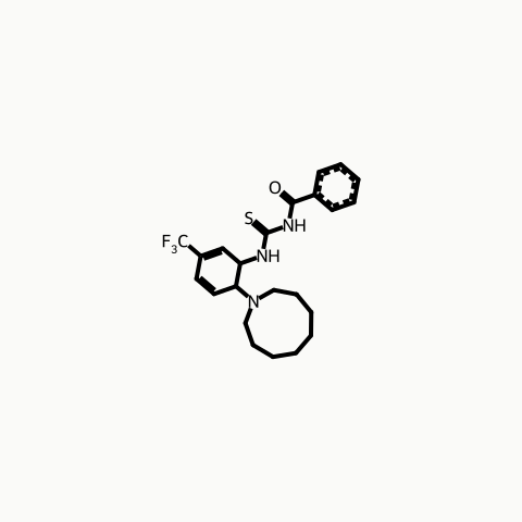 O=C(NC(=S)NC1C=C(C(F)(F)F)C=CC1N1CCCCCCCC1)c1ccccc1